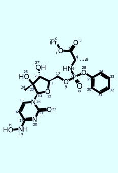 CC(C)OC(=O)[C@H](C)NP(=O)(OC[C@H]1O[C@@H](n2ccc(NO)nc2=O)[C@](C)(O)[C@@H]1O)Oc1ccccc1